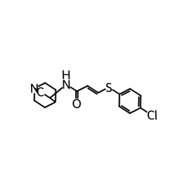 O=C(C=CSc1ccc(Cl)cc1)NC1CN2CCC1CC2